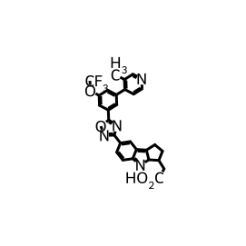 Cc1cnccc1-c1cc(OC(F)(F)F)cc(-c2nc(-c3ccc4c(c3)=C3CCC(CC(=O)O)C3N=4)no2)c1